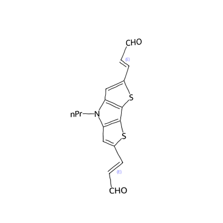 CCCn1c2cc(/C=C/C=O)sc2c2sc(/C=C/C=O)cc21